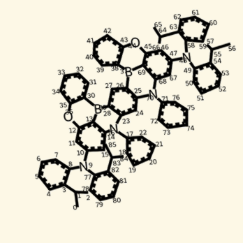 CC(C)c1ccccc1N(c1cc2c3c(c1)N(c1ccccc1)c1cc4c(cc1B3c1ccccc1O2)B1c2ccccc2Oc2cc(N(c3ccccc3C(C)C)c3ccccc3C(C)C)cc(c21)N4c1ccccc1)c1ccccc1C(C)C